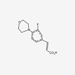 O=C(O)C=Cc1ccc(N2CCOCC2)c(F)c1